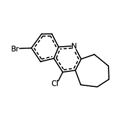 Clc1c2c(nc3ccc(Br)cc13)CCCCC2